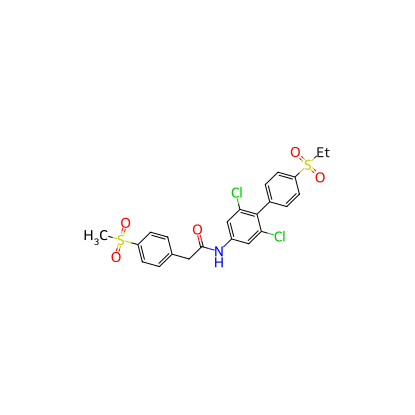 CCS(=O)(=O)c1ccc(-c2c(Cl)cc(NC(=O)Cc3ccc(S(C)(=O)=O)cc3)cc2Cl)cc1